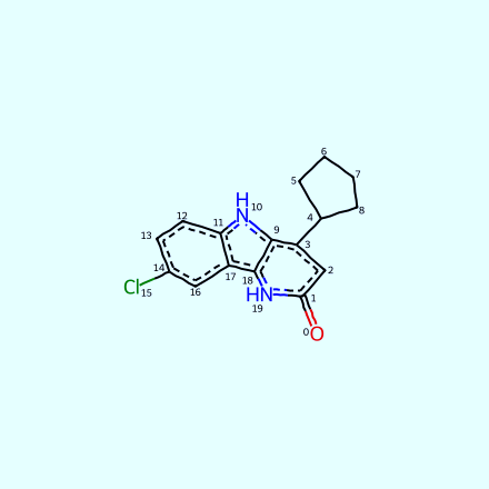 O=c1cc(C2CCCC2)c2[nH]c3ccc(Cl)cc3c2[nH]1